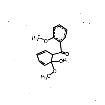 COc1ccccc1C(=O)C1C=CC=CC1(O)OC